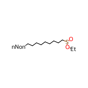 CCCCCCCCCCCCCCCCCCS(=O)OCC